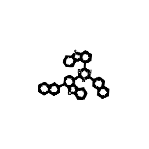 c1ccc2cc(-c3nc(-c4cccc5sc6ccccc6c45)nc(-c4ccc(-c5ccc6ccccc6c5)c5oc6ccccc6c45)n3)ccc2c1